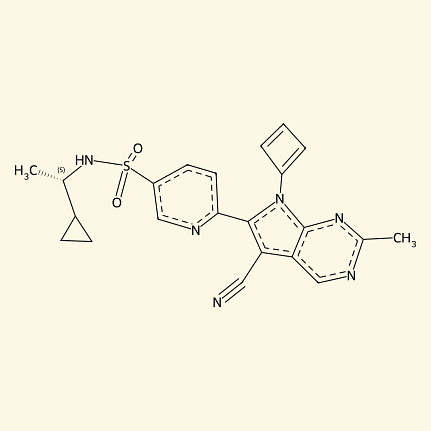 Cc1ncc2c(C#N)c(-c3ccc(S(=O)(=O)N[C@@H](C)C4CC4)cn3)n(C3=CC=C3)c2n1